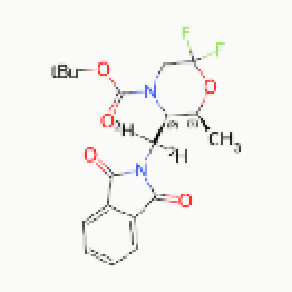 [2H]C([2H])([C@@H]1[C@H](C)OC(F)(F)CN1C(=O)OC(C)(C)C)N1C(=O)c2ccccc2C1=O